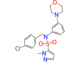 Cn1nccc1S(=O)(=O)N(Cc1ccc(Cl)cc1)c1cccc(N2CCOCC2)c1